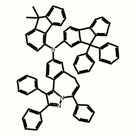 CC1(C)c2ccccc2-c2c(N(c3ccc4c(c3)CC=C(c3ccccc3)n3nc(-c5ccccc5)c(-c5ccccc5)c3-4)c3ccc4c(c3)C(c3ccccc3)(c3ccccc3)c3ccccc3-4)cccc21